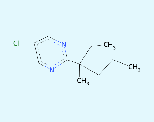 CCCC(C)(CC)c1ncc(Cl)cn1